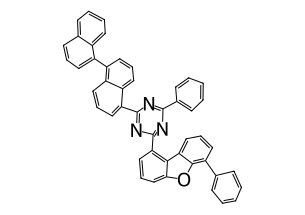 c1ccc(-c2nc(-c3cccc4c(-c5cccc6ccccc56)cccc34)nc(-c3cccc4oc5c(-c6ccccc6)cccc5c34)n2)cc1